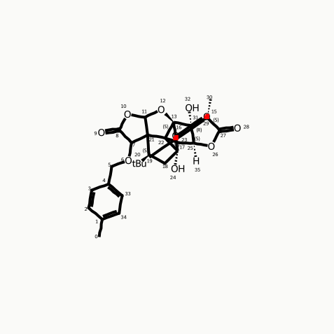 Cc1ccc(COC2C(=O)OC3O[C@@]45C(=O)OC6C[C@@H](C(C)(C)C)C32C64[C@@H](O)[C@@H]2OC(=O)[C@@H](C)[C@@]25O)cc1